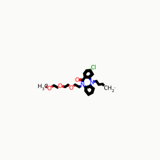 [CH2]CCCN1c2cc(Cl)ccc2C(=O)N(CCOCCOCCOC)c2ccccc21